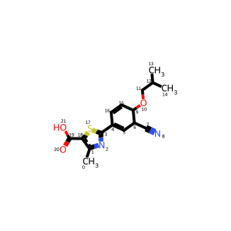 Cc1nc(C2=CC(C#N)C(OCC(C)C)C=C2)sc1C(=O)O